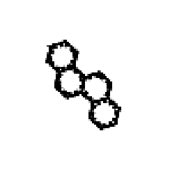 [c]1ccc2c(c1)ccc1c3ccc[c]c3ccc21